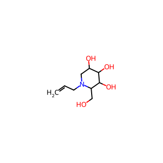 C=CCN1CC(O)C(O)C(O)C1CO